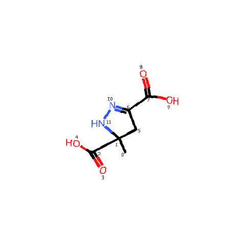 CC1(C(=O)O)CC(C(=O)O)=NN1